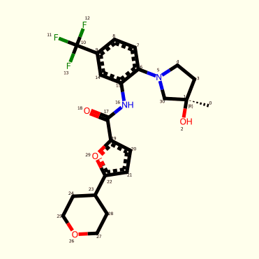 C[C@@]1(O)CCN(c2ccc(C(F)(F)F)cc2NC(=O)c2ccc(C3CCOCC3)o2)C1